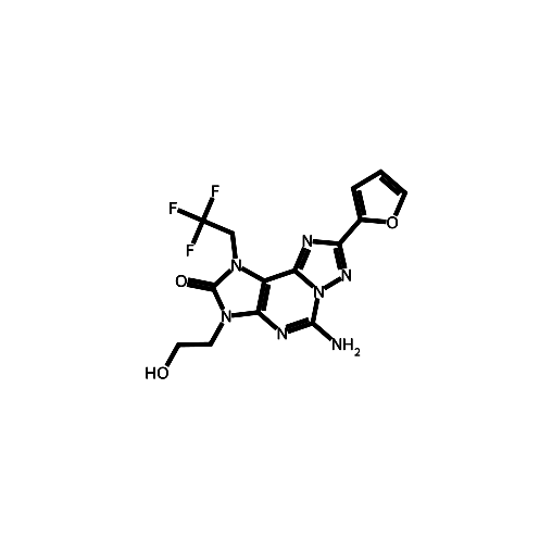 Nc1nc2c(c3nc(-c4ccco4)nn13)n(CC(F)(F)F)c(=O)n2CCO